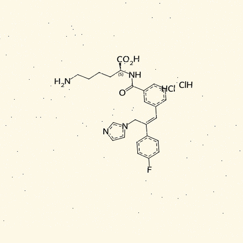 Cl.Cl.NCCCC[C@H](NC(=O)c1cccc(C=C(Cn2ccnc2)c2ccc(F)cc2)c1)C(=O)O